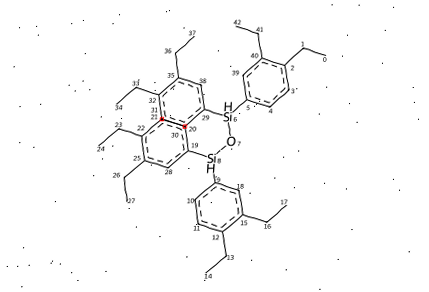 CCc1ccc([SiH](O[SiH](c2ccc(CC)c(CC)c2)c2ccc(CC)c(CC)c2)c2ccc(CC)c(CC)c2)cc1CC